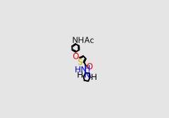 CC(=O)Nc1ccc(Oc2ccc(C(=O)N[C@@H]3C[C@H]4CC[C@@H]3N4)s2)cc1